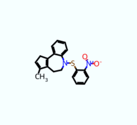 CC1=CCC2=C1CCN(Sc1ccccc1[N+](=O)[O-])c1ccccc12